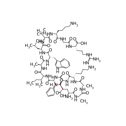 CC[C@H](C)[C@H](NC(=O)[C@H](Cc1ccccc1)NC(=O)[C@H](CCC(=O)O)NC(=O)[C@H](CCCCN)NC(=O)[C@H](C)NC(=O)[C@H](C)NC(=O)[C@@H](N)CCC(N)=O)C(=O)N[C@@H](C)C(=O)N[C@@H](Cc1c[nH]c2ccccc12)C(=O)N[C@@H](CC(C)C)C(=O)N[C@H](C(=O)N[C@@H](CCCCN)C(=O)NCC(=O)N[C@@H](CCCNC(=N)N)C(=O)O)C(C)C